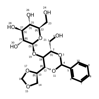 OC[C@@H]1OC(c2ccccc2)O[C@H]([C@H]2COCO2)C1O[C@@H]1O[C@H](CO)[C@@H](O)[C@H](O)[C@H]1O